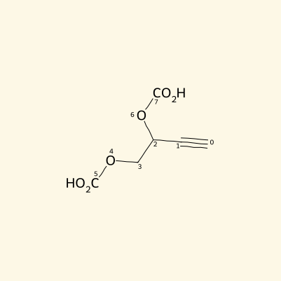 C#CC(COC(=O)O)OC(=O)O